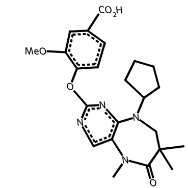 COc1cc(C(=O)O)ccc1Oc1ncc2c(n1)N(C1CCCC1)CC(C)(C)C(=O)N2C